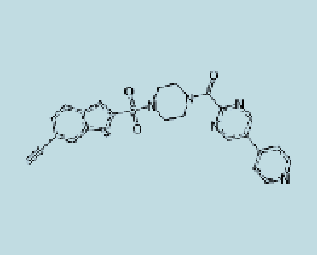 C#Cc1ccc2cc(S(=O)(=O)N3CCN(C(=O)c4ncc(-c5ccncc5)cn4)CC3)sc2c1